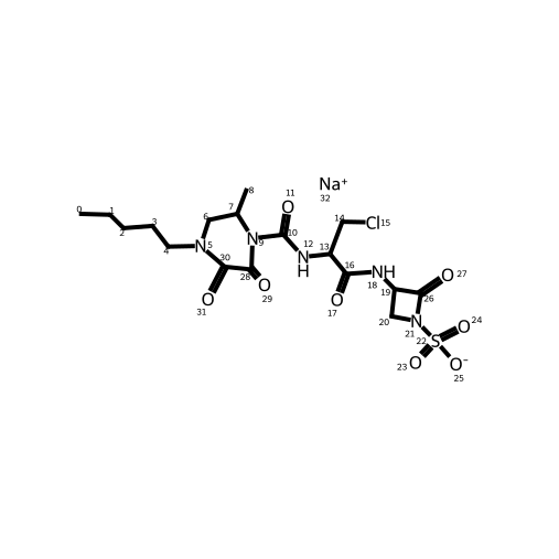 CCCCCN1CC(C)N(C(=O)NC(CCl)C(=O)NC2CN(S(=O)(=O)[O-])C2=O)C(=O)C1=O.[Na+]